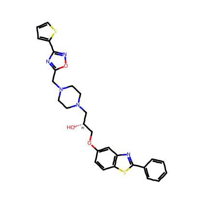 O[C@@H](COc1ccc2sc(-c3ccccc3)nc2c1)CN1CCN(Cc2nc(-c3cccs3)no2)CC1